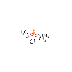 CC(C)COPOCC(C)C.c1ccccc1